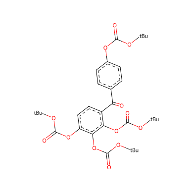 CC(C)(C)OC(=O)Oc1ccc(C(=O)c2ccc(OC(=O)OC(C)(C)C)c(OC(=O)OC(C)(C)C)c2OC(=O)OC(C)(C)C)cc1